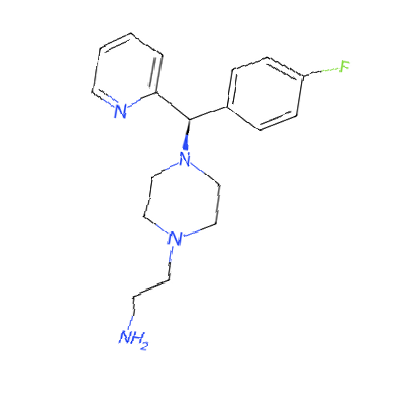 NCCN1CCN([C@H](c2ccc(F)cc2)c2ccccn2)CC1